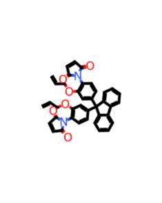 C=CCOc1cc(C2(c3ccc(N4C(=O)C=CC4=O)c(OCC=C)c3)c3ccccc3-c3ccccc32)ccc1N1C(=O)C=CC1=O